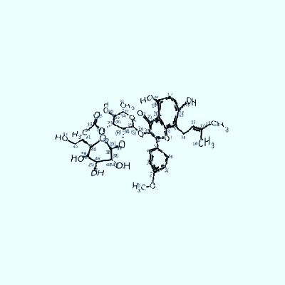 COc1ccc(-c2oc3c(CC=C(C)C)c(O)cc(O)c3c(=O)c2O[C@@H]2O[C@@H](C)[C@H](O)[C@@H](OC(C)=O)[C@H]2O[C@@H]2O[C@H](CCO)[C@@H](O)[C@H](O)[C@H]2O)cc1